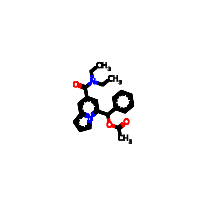 CCN(CC)C(=O)c1cc(C(OC(C)=O)c2ccccc2)n2cccc2c1